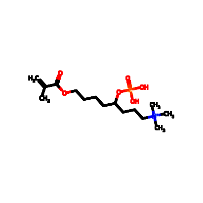 C=C(C)C(=O)OCCCCC(CCC[N+](C)(C)C)OP(=O)(O)O